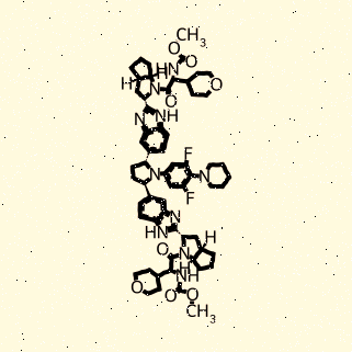 COC(=O)NC(C(=O)N1[C@H](c2nc3cc([C@H]4CC[C@H](c5ccc6[nH]c([C@@H]7C[C@@H]8CCC[C@@H]8N7C(=O)[C@@H](NC(=O)OC)C7CCOCC7)nc6c5)N4c4cc(F)c(N5CCCCC5)c(F)c4)ccc3[nH]2)C[C@@H]2CCC[C@@H]21)C1CCOCC1